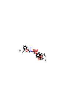 Cc1ccccc1OCCNCC(O)COc1ccc(S(C)(=O)=O)c(C)c1